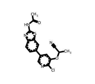 CC(=O)Nc1nc2ccc(-c3cnc(Cl)c(OC(C)C#N)c3)cc2s1